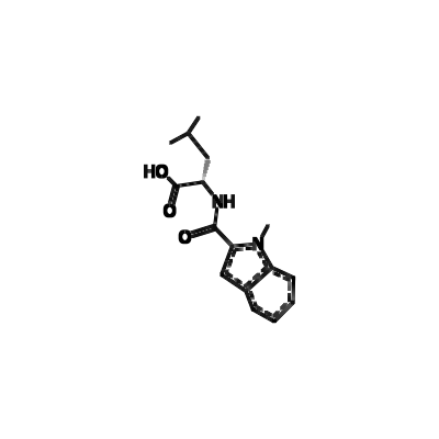 CC(C)C[C@H](NC(=O)c1cc2ccccc2n1C)C(=O)O